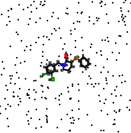 O=C1C(Sc2ccccc2)=CCCN1Cc1ccc(F)c(Cl)c1